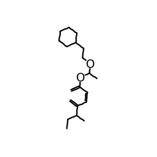 C=C(/C=C\C(=C)C(C)CC)OC(C)OCCC1CCCCC1